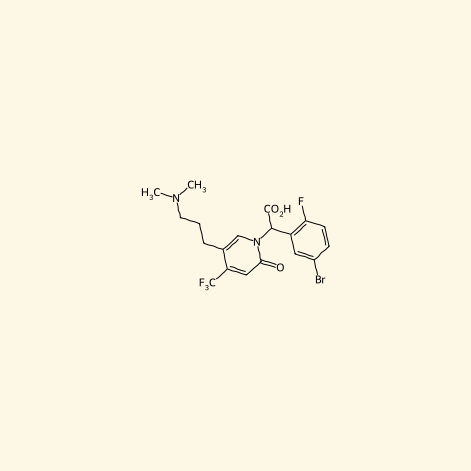 CN(C)CCCc1cn(C(C(=O)O)c2cc(Br)ccc2F)c(=O)cc1C(F)(F)F